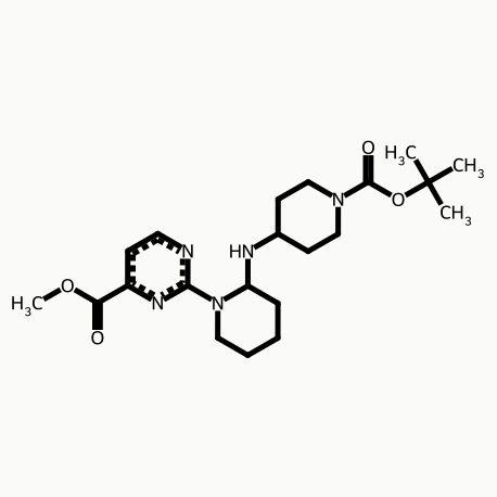 COC(=O)c1ccnc(N2CCCCC2NC2CCN(C(=O)OC(C)(C)C)CC2)n1